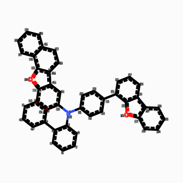 c1ccc(-c2ccccc2N(c2ccc(-c3cccc4c3oc3ccccc34)cc2)c2ccc3oc4c5ccccc5ccc4c3c2)cc1